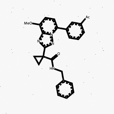 COc1ccc(-c2cccc(C(C)=O)c2)n2nc(C3(C(=O)NCc4ccccc4)CC3)nc12